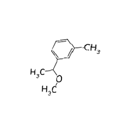 COC(C)c1cccc(C)c1